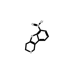 O=[N+]([O-])c1cccc2c3c(oc12)CCSC3